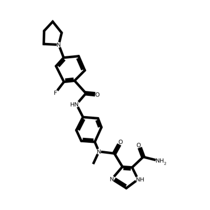 CN(C(=O)c1nc[nH]c1C(N)=O)c1ccc(NC(=O)c2ccc(N3CCCC3)cc2F)cc1